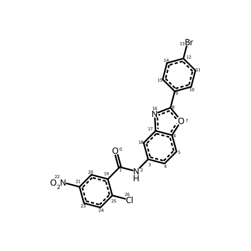 O=C(Nc1ccc2oc(-c3ccc(Br)cc3)nc2c1)c1cc([N+](=O)[O-])ccc1Cl